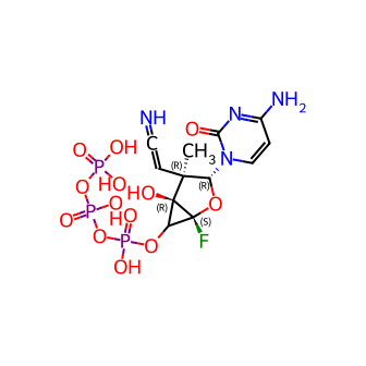 C[C@]1(C=C=N)[C@H](n2ccc(N)nc2=O)O[C@]2(F)C(OP(=O)(O)OP(=O)(O)OP(=O)(O)O)[C@]12O